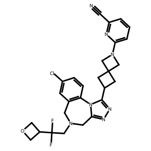 N#Cc1cccc(N2CC3(CC(c4nnc5n4-c4ccc(Cl)cc4CN(CC(F)(F)C4COC4)C5)C3)C2)n1